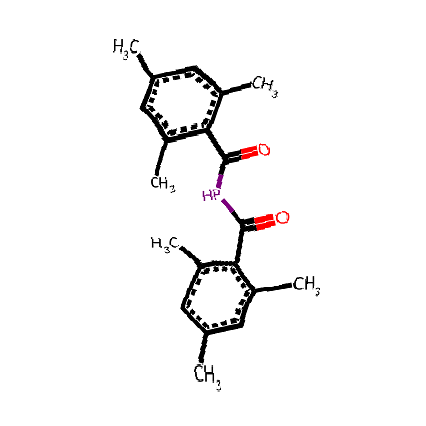 Cc1cc(C)c(C(=O)PC(=O)c2c(C)cc(C)cc2C)c(C)c1